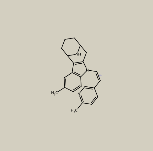 Cc1ccc2c(c1)c1c(n2/C=C\c2ccc(C)nc2)CC2CCCC1N2